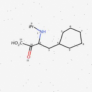 CC(C)NC(CC1CCCCC1)C(=O)C(=O)O